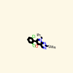 CSc1ncc2c(=O)c(-c3c(Cl)cccc3Cl)cn(CC(C)C)c2n1